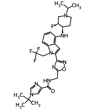 CC(C)N1CC[C@@H](Nc2cccc3c2cc(-c2noc(CNC(=O)c4cn(C(C)(C)C)cn4)n2)n3CC(F)(F)F)[C@@H](F)C1